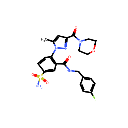 Cc1cc(C(=O)N2CCOCC2)nn1-c1ccc(S(N)(=O)=O)cc1C(=O)NCc1ccc(F)cc1